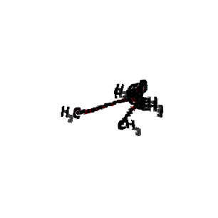 CC#CC#CC#CC#CC#CC#CC#CC#CC#CC#CC#CC#CC(=O)O[C@@H](COC1OC2COC(c3ccccc3)OC2C(C)C1C)[C@@H]1OC(C)(C)O[C@@H]1CCCCCCCCCCCCCC